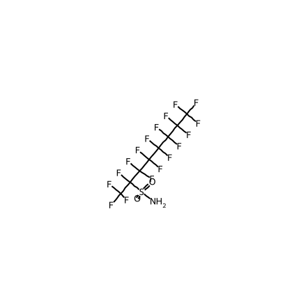 NS(=O)(=O)C(F)(C(F)(F)F)C(F)(F)C(F)(F)C(F)(F)C(F)(F)C(F)(F)C(F)(F)F